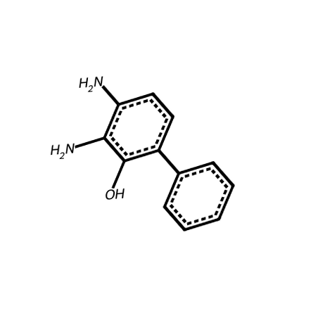 Nc1ccc(-c2ccccc2)c(O)c1N